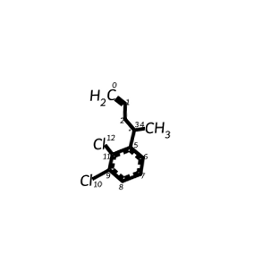 C=CC[C](C)c1cccc(Cl)c1Cl